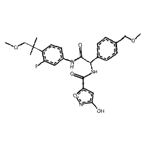 COCc1ccc(C(NC(=O)c2cc(O)no2)C(=O)Nc2ccc(C(C)(C)COC)c(F)c2)cc1